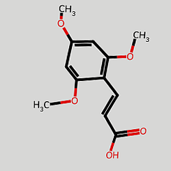 COc1cc(OC)c(C=CC(=O)O)c(OC)c1